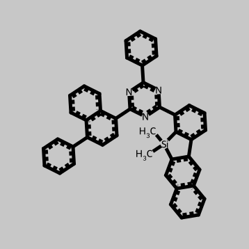 C[Si]1(C)c2cc3ccccc3cc2-c2cccc(-c3nc(-c4ccccc4)nc(-c4ccc(-c5ccccc5)c5ccccc45)n3)c21